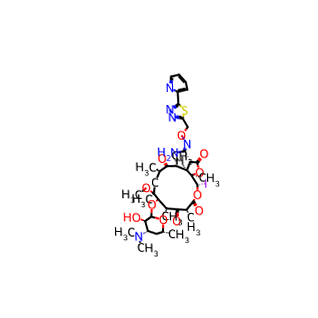 CO[C@]1(C)C[C@@H](C)C(=O)[C@H](C)[C@H]2[C@H](/C(N)=N/OCc3nnc(-c4ccccn4)s3)C(=O)O[C@@]2(C)[C@H](I)OC(=O)[C@H](C)C(=O)[C@H](C)[C@H]1OC1O[C@H](C)C[C@H](N(C)C)[C@H]1O